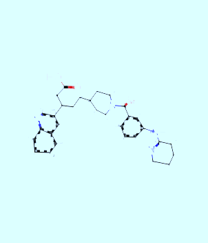 O=C(O)CC(CCC1CCN(C(=O)c2cccc(NC3=NCCCC3)c2)CC1)c1cnc2ccccc2c1